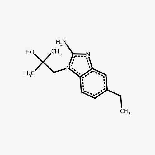 CCc1ccc2c(c1)nc(N)n2CC(C)(C)O